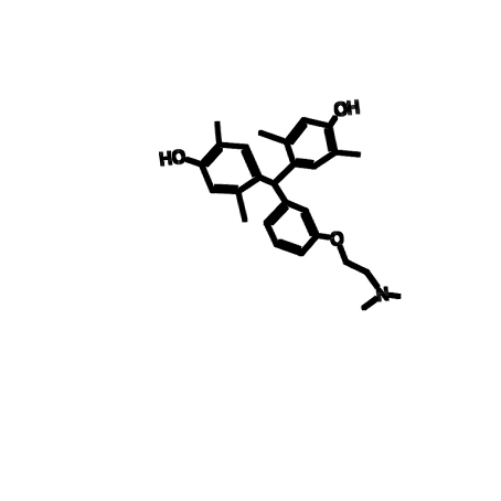 Cc1cc(C(c2cccc(OCCN(C)C)c2)c2cc(C)c(O)cc2C)c(C)cc1O